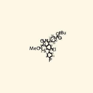 COC1CSc2c(-c3ccc(F)cc3)c(Cl)cc3c(N4CCN(C(=O)OC(C)(C)C)CC4)nc(=O)n(c23)C1